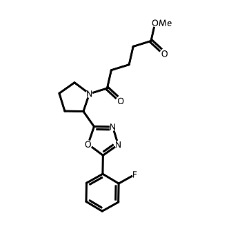 COC(=O)CCCC(=O)N1CCCC1c1nnc(-c2ccccc2F)o1